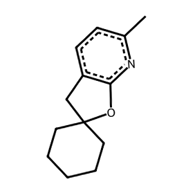 Cc1ccc2c(n1)OC1(CCCCC1)C2